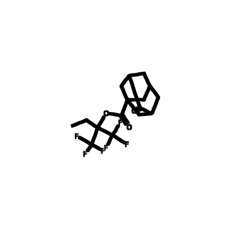 CCC(OC(=O)C12CC3CC(C1)C(=O)C(C3)C2)(C(F)(F)F)C(F)(F)F